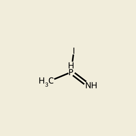 C[PH](=N)I